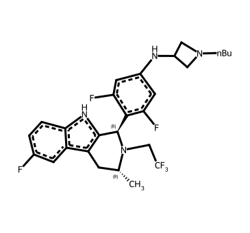 CCCCN1CC(Nc2cc(F)c([C@@H]3c4[nH]c5ccc(F)cc5c4C[C@@H](C)N3CC(F)(F)F)c(F)c2)C1